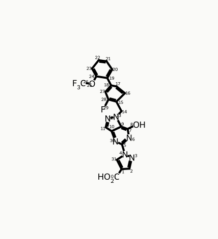 O=C(O)c1cnn(-c2nc(O)c3c(cnn3Cc3ccc(-c4ccccc4OC(F)(F)F)cc3F)n2)c1